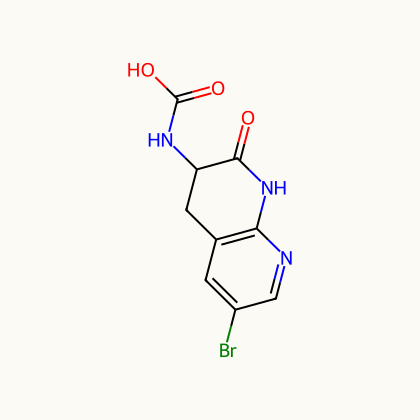 O=C(O)NC1Cc2cc(Br)cnc2NC1=O